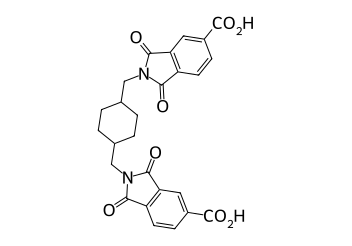 O=C(O)c1ccc2c(c1)C(=O)N(CC1CCC(CN3C(=O)c4ccc(C(=O)O)cc4C3=O)CC1)C2=O